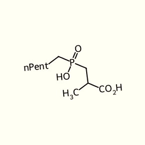 CCCCCCP(=O)(O)CC(C)C(=O)O